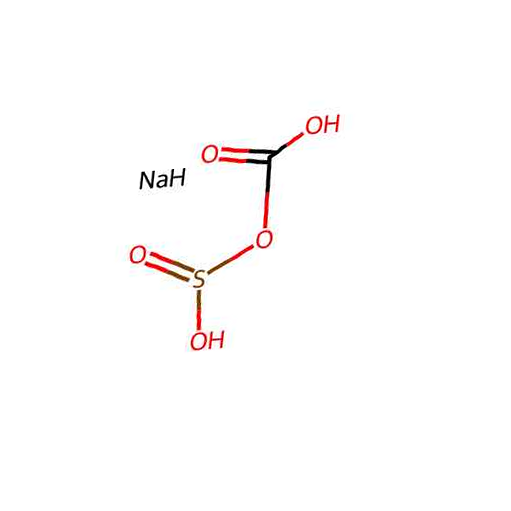 O=C(O)OS(=O)O.[NaH]